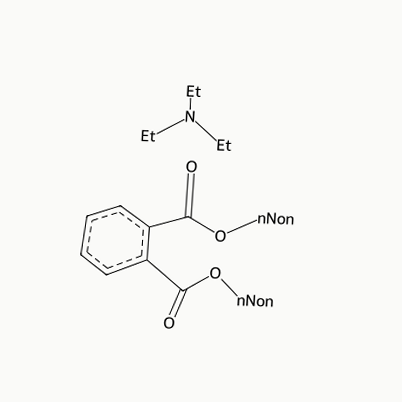 CCCCCCCCCOC(=O)c1ccccc1C(=O)OCCCCCCCCC.CCN(CC)CC